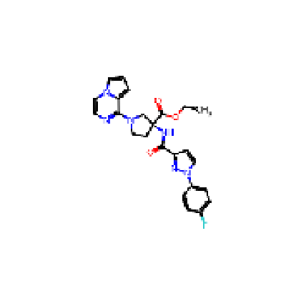 CCOC(=O)[C@]1(NC(=O)c2ccn(-c3ccc(F)cc3)n2)CCN(c2nccn3cccc23)C1